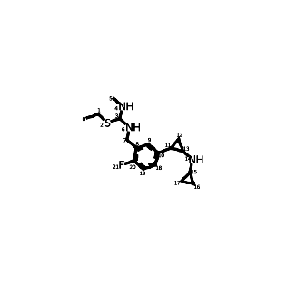 CCSC(NC)NCc1cc(C2CC2NC2CC2)ccc1F